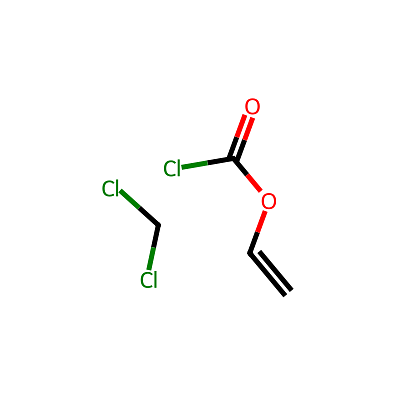 C=COC(=O)Cl.ClCCl